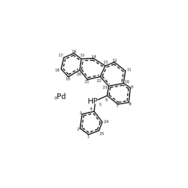 [Pd].c1ccc(Pc2cccc3ccc4cc5ccccc5cc4c23)cc1